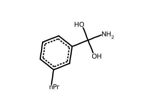 CCCc1cccc(C(N)(O)O)c1